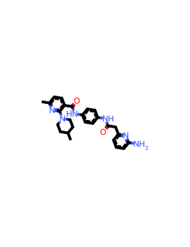 Cc1ccc(C(=O)Nc2ccc(NC(=O)Cc3cccc(N)n3)cc2)c(N2CCC(C)CC2)n1